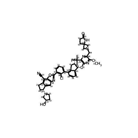 COc1nc(O[C@H]2CCc3c(-c4cccc(-c5nc6cc7c(c(C#N)c6o5)CC[C@H]7N5CC[C@@H](O)C5)c4Cl)cccc32)c(C(F)(F)F)nc1CN1CC2(CCC(=O)N2)C1